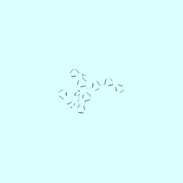 CC1(C)c2ccccc2-c2ccc(N(c3ccc(-c4ccc5oc6ccccc6c5c4)cc3)c3ccc4c(c3)C3(c5ccccc5-4)c4ccccc4N4c5ccccc5Oc5cccc3c54)cc21